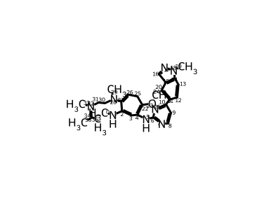 CNC1=CC(Nc2nccc(-c3ccc4c(cnn4C)c3)n2)=C(OC)CC=C1N(C)CCN(C)C(C)C